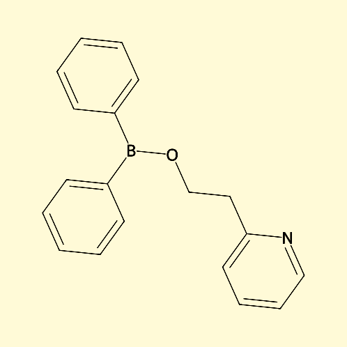 c1ccc(B(OCCc2ccccn2)c2ccccc2)cc1